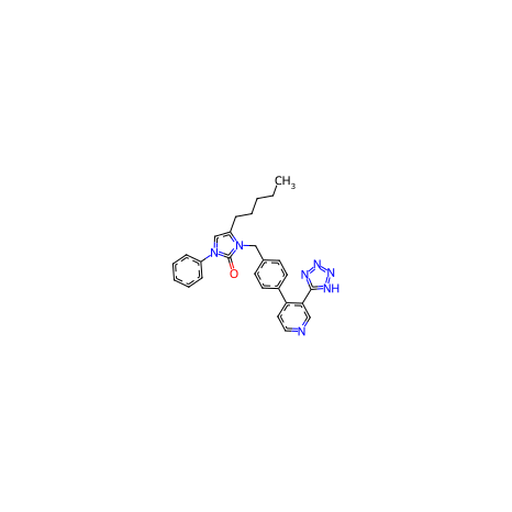 CCCCCc1cn(-c2ccccc2)c(=O)n1Cc1ccc(-c2ccncc2-c2nnn[nH]2)cc1